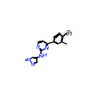 Cc1cc(-c2ccnc(Nc3cnn(C)c3)n2)ccc1C(C)C